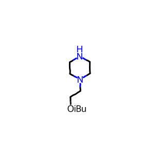 CC(C)COCCN1CCNCC1